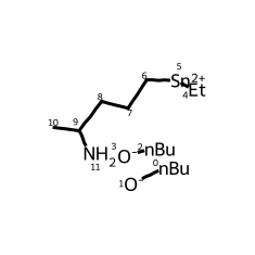 CCCC[O-].CCCC[O-].C[CH2][Sn+2][CH2]CCC(C)N